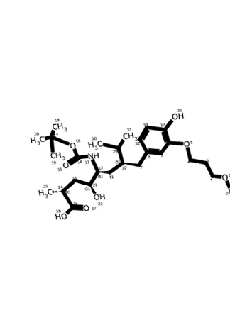 COCCCOc1cc(C[C@@H](C[C@H](NC(=O)OC(C)(C)C)[C@@H](O)C[C@@H](C)C(=O)O)C(C)C)ccc1O